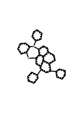 c1ccc(B2c3ccccc3Oc3cc4c(-c5ccccc5)cc(-c5ccccc5)c5ccc6ccc2c3c6c54)cc1